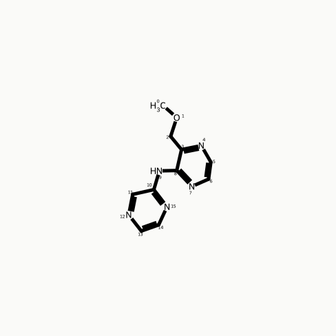 COCc1nccnc1Nc1cnccn1